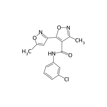 Cc1cc(-c2onc(C)c2C(=O)Nc2cccc(Cl)c2)no1